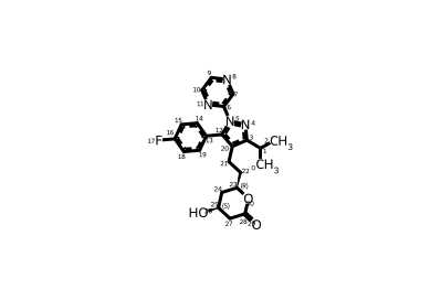 CC(C)c1nn(-c2cnccn2)c(-c2ccc(F)cc2)c1CC[C@@H]1C[C@H](O)CC(=O)O1